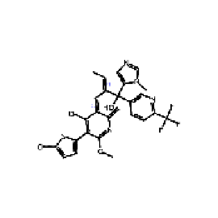 C=c1nc(OC)c(-c2ccc(Cl)s2)c(Cl)/c1=C/C(=C\C)C(O)(c1ccc(C(F)(F)F)nc1)c1cncn1C